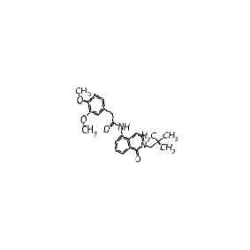 COc1ccc(CC(=O)Nc2cccc3c(=O)n(CC(C)(C)C)ccc23)cc1OC